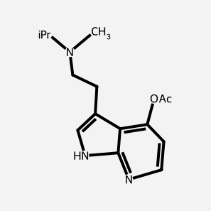 CC(=O)Oc1ccnc2[nH]cc(CCN(C)C(C)C)c12